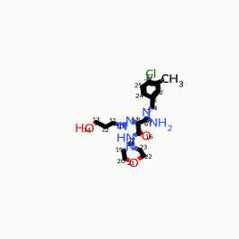 Cc1cc(C/N=C(\N)C(/N=N/CCCO)C(=O)NN2CCOCC2)ccc1Cl